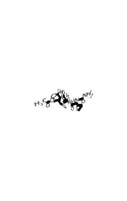 CC(=O)OCC1=C(C(=O)O)N2C(=O)[C@H](NC(=O)C(NC(N)=O)c3cccs3)C2SC1